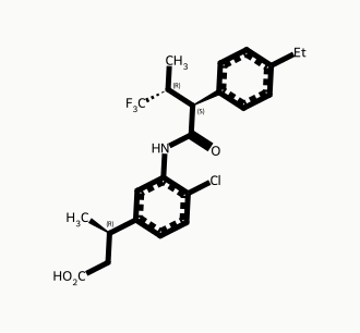 CCc1ccc([C@@H](C(=O)Nc2cc([C@H](C)CC(=O)O)ccc2Cl)[C@@H](C)C(F)(F)F)cc1